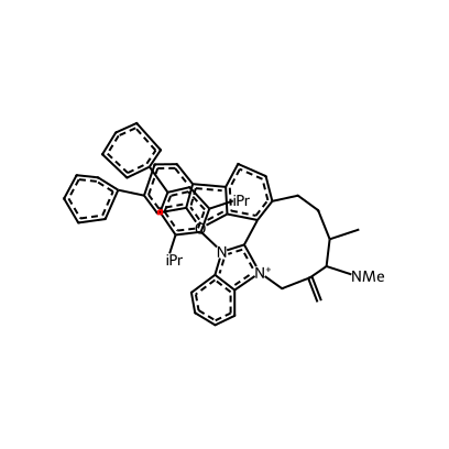 C=C1C[n+]2c(n(-c3c(C(C)C)cc(-c4ccccc4)cc3C(C)C)c3ccccc32)-c2c(ccc3c2oc2cc(-c4ccccc4)ccc23)CCC(C)C1NC